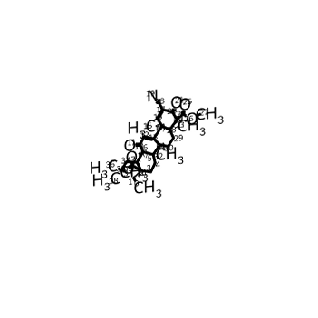 CC[C@@]12CCC3[C@](OC1=O)(C(=O)C=C1[C@@]4(C)C=C(C#N)C(=O)[C@@](C)(C(=O)OC)C4CC[C@]13C)C2CC(C)(C)C